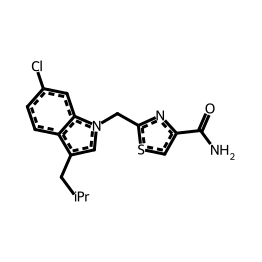 CC(C)Cc1cn(Cc2nc(C(N)=O)cs2)c2cc(Cl)ccc12